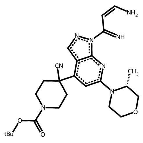 C[C@@H]1COCCN1c1cc(C2(C#N)CCN(C(=O)OC(C)(C)C)CC2)c2cnn(C(=N)/C=C\N)c2n1